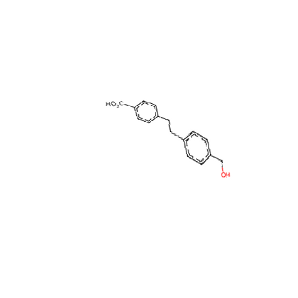 O=C(O)c1ccc(CCc2ccc(CO)cc2)cc1